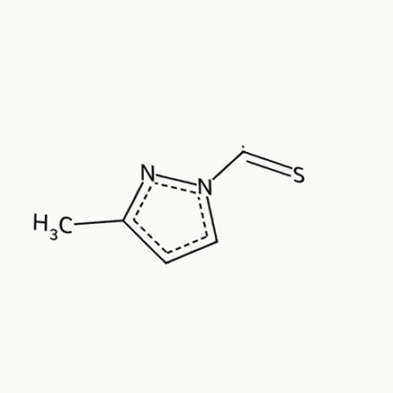 Cc1ccn([C]=S)n1